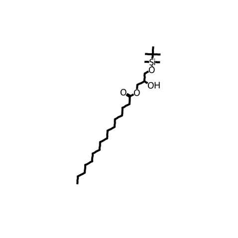 CCCCCCCCCCCCCCCC(=O)OCC(O)CO[Si](C)(C)C(C)(C)C